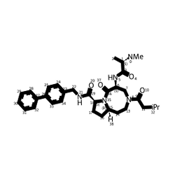 CN[C@@H](C)C(=O)N[C@H]1CN(C(=O)CC(C)C)CC[C@H]2CC[C@@H](C(=O)NCc3ccc(-c4ccccc4)cc3)N2C1=O